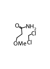 COCCC(N)=O.ClCCl